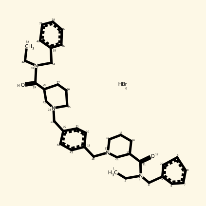 Br.CCN(Cc1ccccc1)C(=O)C1CCCN(Cc2ccc(CN3CCCC(C(=O)N(CC)Cc4ccccc4)C3)cc2)C1